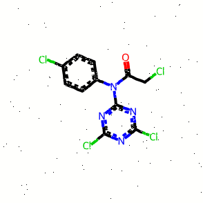 O=C(CCl)N(c1ccc(Cl)cc1)c1nc(Cl)nc(Cl)n1